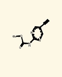 C#Cc1cnc(NC(=O)OC(C)(C)C)nc1